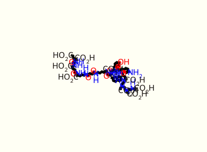 Nc1ccc(CC(NC(=O)CCC(NCCN(CCN(CCNCC(=O)O)CC(=O)O)CC(=O)O)C(=O)O)C(=O)N[C@H](Cc2ccc(O)cc2)C(=O)N[C@H](Cc2ccc3ccccc3c2)C(=O)N[C@H](CCCCNC(=O)CCC(=O)NCCCC(NC(=O)CC[C@H](NC(=O)N[C@@H](CCC(=O)O)C(=O)O)C(=O)O)C(=O)O)C(=O)O)cc1